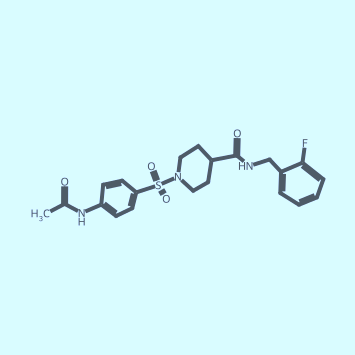 CC(=O)Nc1ccc(S(=O)(=O)N2CCC(C(=O)NCc3ccccc3F)CC2)cc1